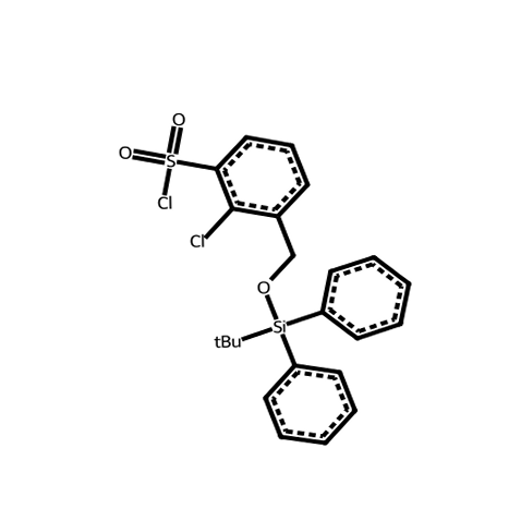 CC(C)(C)[Si](OCc1cccc(S(=O)(=O)Cl)c1Cl)(c1ccccc1)c1ccccc1